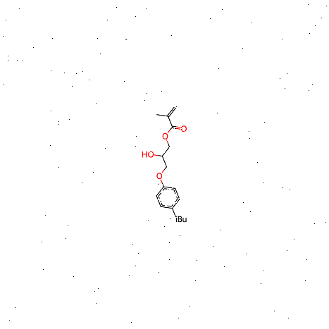 C=C(C)C(=O)OCC(O)COc1ccc(C(C)CC)cc1